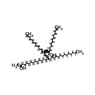 CCCCCCCCCCCCC(O)CN(CCCCCCCCCCCCC(C)O)N(CC(O)CCCCCCCCCCCC)CC(O)CCCCCCCCCCCC